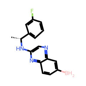 Bc1ccc2nc(N[C@H](C)c3cccc(F)c3)cnc2c1